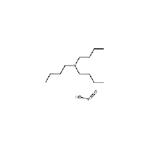 CCCCN(CCCC)CCCC.O=PO